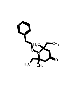 CCC1(C)CC(=O)CC(C)(CC)N1OCCc1ccccc1